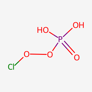 O=P(O)(O)OOCl